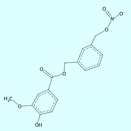 COc1cc(C(=O)OCc2cccc(CO[N+](=O)[O-])c2)ccc1O